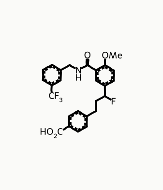 COc1ccc(C(F)CCc2ccc(C(=O)O)cc2)cc1C(=O)NCc1cccc(C(F)(F)F)c1